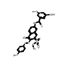 COc1ccc(N=Nc2c(S(=O)(=O)OC(C)C)cc3cc(NC(=O)c4cc(OC)cc(OC)c4)ccc3c2O)cc1